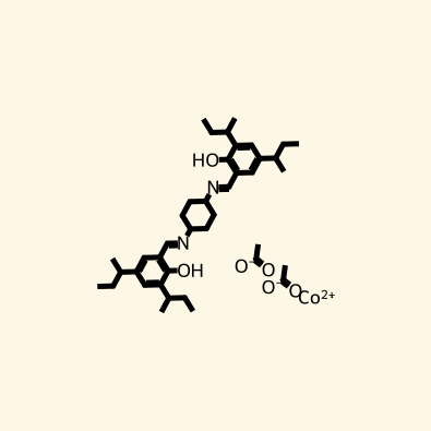 CC(=O)[O-].CC(=O)[O-].CCC(C)c1cc(C=NC2CCC(N=Cc3cc(C(C)CC)cc(C(C)CC)c3O)CC2)c(O)c(C(C)CC)c1.[Co+2]